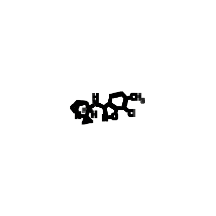 Cc1ccc2c(N[C@H]3C4CCN(CC4)C34CC4)noc2c1Cl